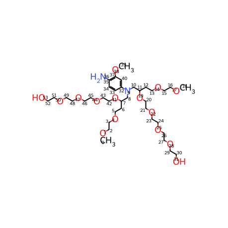 COCCOCCC(CN(CC(CCOCCOC)OCCOCCOCCOCCO)c1ccc(N)c(OC)c1)OCCOCCOCCOCCO